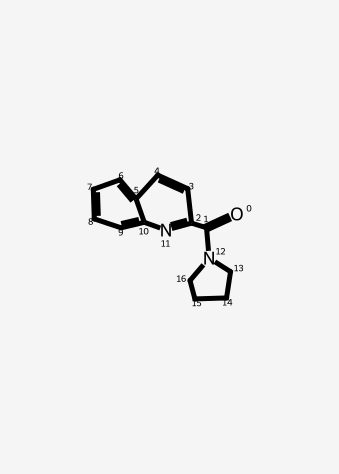 O=C(c1ccc2ccccc2n1)N1CCCC1